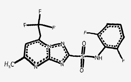 Cc1cc(C(F)(F)F)n2nc(S(=O)(=O)Nc3c(F)cccc3F)nc2n1